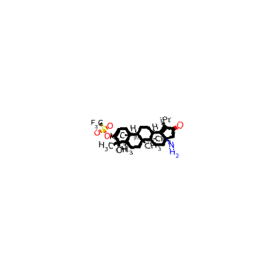 CC(C)C1=C2[C@@H]3CC[C@@H]4[C@@]5(C)CC=C(OS(=O)(=O)C(F)(F)F)C(C)(C)[C@@H]5CC[C@@]4(C)[C@]3(C)CC[C@@]2(N)CC1=O